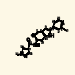 Cc1cc(-c2cc3cnc(NC(=O)c4cnn(C)c4)cc3[nH]2)ccn1